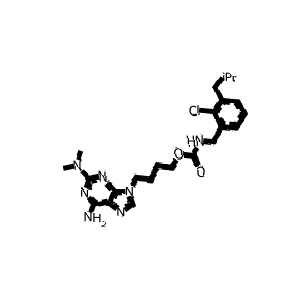 CC(C)Cc1cccc(CNC(=O)OCCCCn2cnc3c(N)nc(N(C)C)nc32)c1Cl